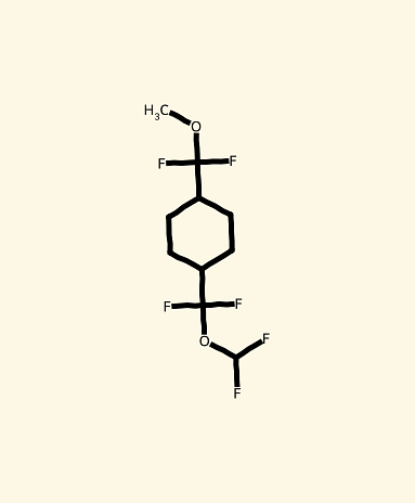 COC(F)(F)C1CCC(C(F)(F)OC(F)F)CC1